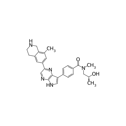 Cc1cc(-c2cnc3[nH]cc(-c4ccc(C(=O)N(C)C[C@H](C)O)cc4)c3n2)cc2c1CNCC2